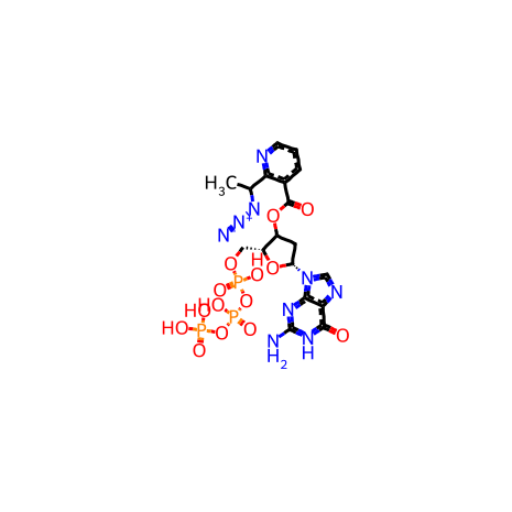 CC(N=[N+]=[N-])c1ncccc1C(=O)OC1C[C@H](n2cnc3c(=O)[nH]c(N)nc32)O[C@@H]1COP(=O)(O)OP(=O)(O)OP(=O)(O)O